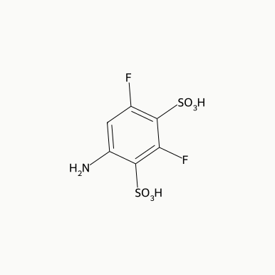 Nc1cc(F)c(S(=O)(=O)O)c(F)c1S(=O)(=O)O